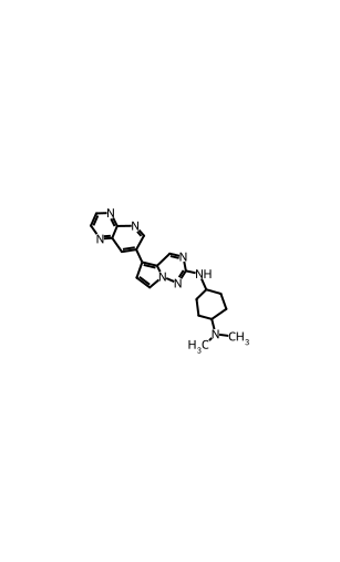 CN(C)C1CCC(Nc2ncc3c(-c4cnc5nccnc5c4)ccn3n2)CC1